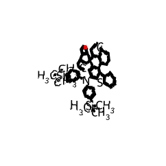 C[Si](C)(C)c1ccc(N(c2ccc([Si](C)(C)C)cc2)c2cc3c(c4c2sc2ccccc24)-c2cccc4cccc(c24)C32c3ccccc3-c3ccccc32)cc1